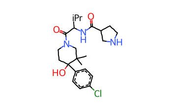 CC(C)C(NC(=O)C1CCNC1)C(=O)N1CCC(O)(c2ccc(Cl)cc2)C(C)(C)C1